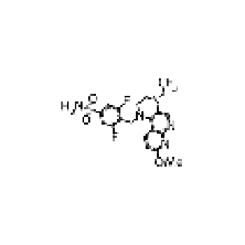 COc1ccc2c3c(cnc2n1)N(CC(F)(F)F)CCN3Cc1c(F)cc(S(N)(=O)=O)cc1F